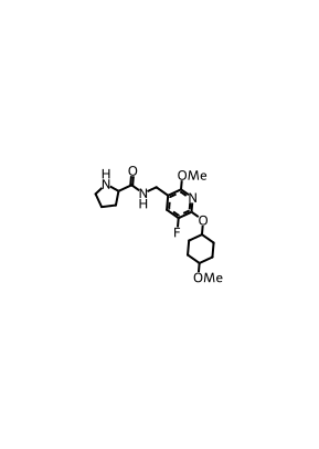 COc1nc(OC2CCC(OC)CC2)c(F)cc1CNC(=O)C1CCCN1